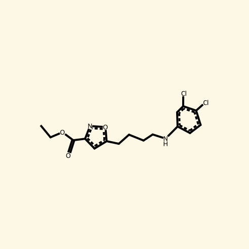 CCOC(=O)c1cc(CCCCNc2ccc(Cl)c(Cl)c2)on1